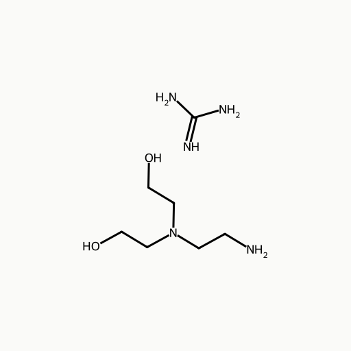 N=C(N)N.NCCN(CCO)CCO